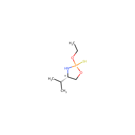 CCO[P]1(S)N[C@@H](C(C)C)CO1